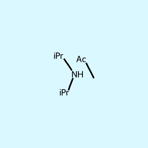 CC(C)=O.CC(C)NC(C)C